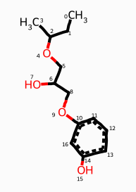 CCC(C)OCC(O)COc1cccc(O)c1